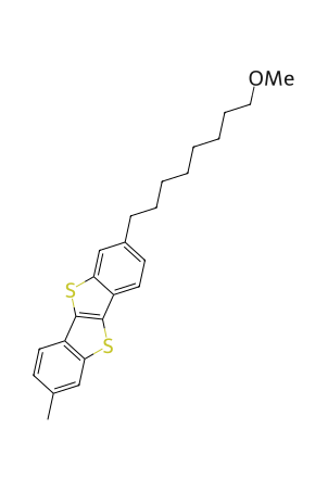 COCCCCCCCCc1ccc2c(c1)sc1c3ccc(C)cc3sc21